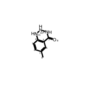 Cc1ccc2c(c1)C(=O)NNN2